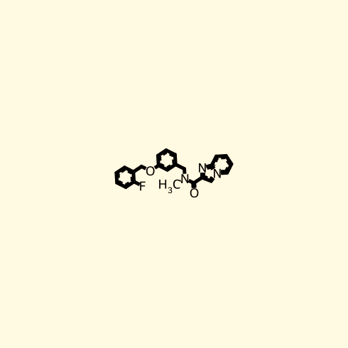 CN(Cc1cccc(OCc2ccccc2F)c1)C(=O)c1cn2ccccc2n1